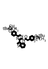 CC(C)(C)[Si](C)(C)Oc1ccc(CC(=O)Nc2ncc(-c3ccc(O[Si](C)(C)C(C)(C)C)cc3)nc2-c2csc3ccccc23)cc1